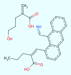 C=C(CCCO)C(=O)O.CCCC(=Cc1cccc2cc3ccccc3c(C=N)c12)C(=O)O